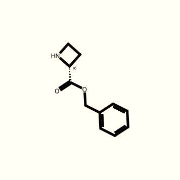 O=C(OCc1ccccc1)[C@H]1CCN1